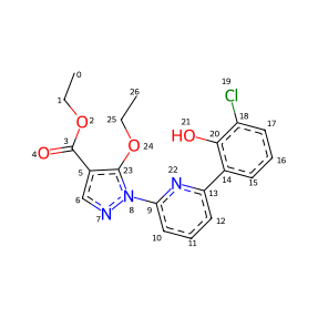 CCOC(=O)c1cnn(-c2cccc(-c3cccc(Cl)c3O)n2)c1OCC